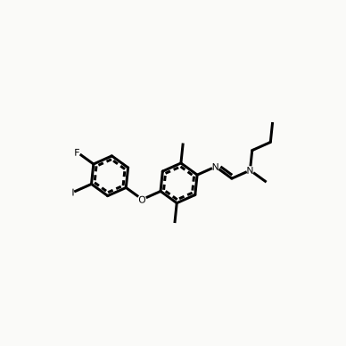 CCCN(C)C=Nc1cc(C)c(Oc2ccc(F)c(I)c2)cc1C